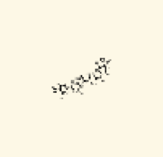 COc1c(C)cc(-c2cc(C)c(OC(=O)c3ccc(C(C)c4ccc(C(C)=O)c(C)c4)cc3C)c(C)c2)cc1C